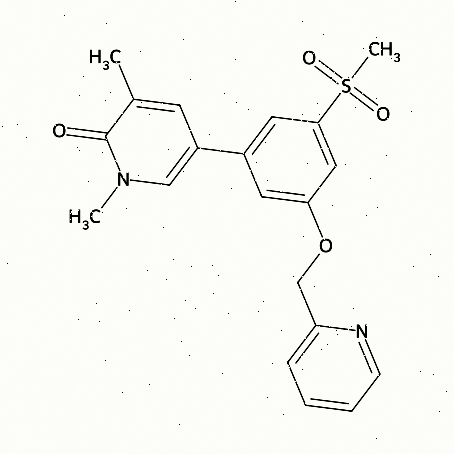 Cc1cc(-c2cc(OCc3ccccn3)cc(S(C)(=O)=O)c2)cn(C)c1=O